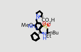 CCCC[C@]1(CC)CS(=O)(=O)c2cc(CN3CCC[C@H]3C(=O)O)c(OC)cc2[C@@H](c2ccccc2)N1.N